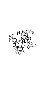 CCc1c(N2CCNC3CCC32)c(=O)c2nc(N(C)C)cnc2n1CC(=O)Nc1ccc(C(F)(F)F)cc1Cl.O=C(O)C(F)(F)F